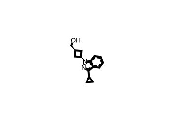 OC[C@H]1C[C@H](n2nc(C3CC3)c3ccccc32)C1